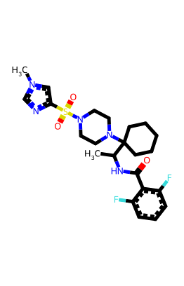 CC(NC(=O)c1c(F)cccc1F)C1(N2CCN(S(=O)(=O)c3cn(C)cn3)CC2)CCCCC1